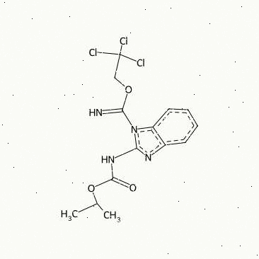 CC(C)OC(=O)Nc1nc2ccccc2n1C(=N)OCC(Cl)(Cl)Cl